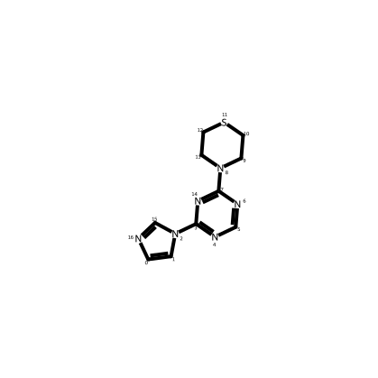 c1cn(-c2ncnc(N3CCSCC3)n2)cn1